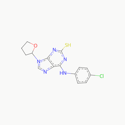 Sc1nc(Nc2ccc(Cl)cc2)c2ncn(C3CCCO3)c2n1